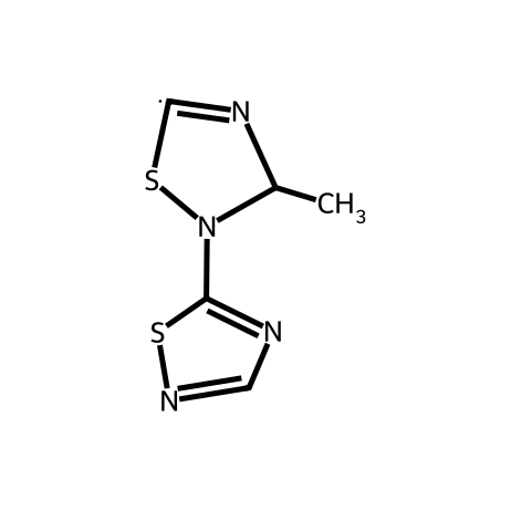 CC1N=[C]SN1c1ncns1